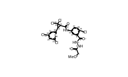 COCC(=O)NNC(=O)c1cc(NC(=O)C2C(c3cc(Cl)cc(Cl)c3)C2(Cl)Cl)ccc1Cl